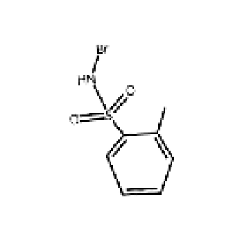 Cc1ccccc1S(=O)(=O)NBr